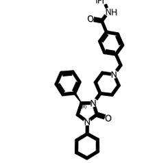 CC(C)NC(=O)c1ccc(CN2CCC(N3C(=O)N(C4CCCCC4)C[C@H]3c3ccccc3)CC2)cc1